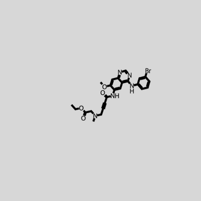 CCOC(=O)CN(C)CC#CC(=O)Nc1cc2c(Nc3cccc(Br)c3)ncnc2cc1OC